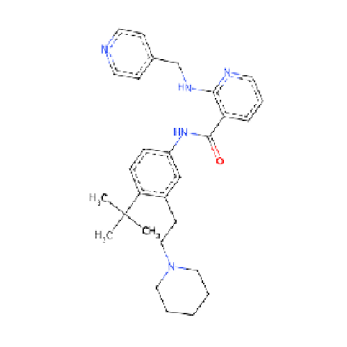 CC(C)(C)c1ccc(NC(=O)c2cccnc2NCc2ccncc2)cc1CCN1CCCCC1